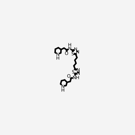 O=C(CC1CCCNC1)Nc1nnc(CCCCc2nnc(NC(=O)CC3CCCNC3)s2)s1